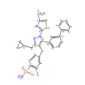 NS(=O)(=O)c1ccc(Cc2c(CC3CC3)nn(-c3nc(C(=O)O)cs3)c2-c2cccc(-c3ccccc3)c2)cc1F